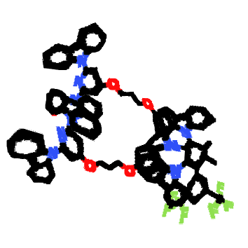 Cc1c(C)c(-n2c3ccccc3c3ccccc32)c(-n2c3ccc(OCCCOc4cc(-n5c6ccccc6c6ccccc65)nc(-n5c6ccccc6c6ccccc65)c4)cc3c3cc(OCCCOc4cc(-n5c6ccccc6c6ccccc65)nc(-n5c6ccccc6c6ccccc65)c4)ccc32)c(-n2c3ccccc3c3ccccc32)c1-c1cc(C(F)(F)F)cc(C(F)(F)F)c1